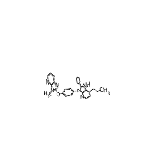 CCCc1ccnc2c1[nH]c(=O)n2-c1ccc(Oc2nc3cccnc3n2C)cc1